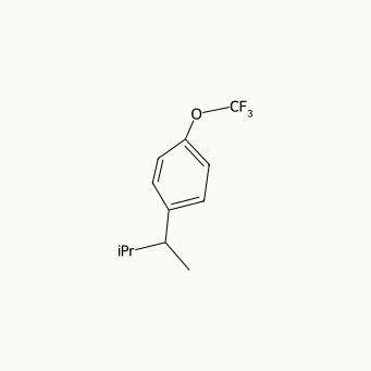 CC(C)C(C)c1ccc(OC(F)(F)F)cc1